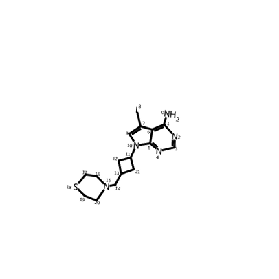 Nc1ncnc2c1c(I)cn2C1CC(CN2CCSCC2)C1